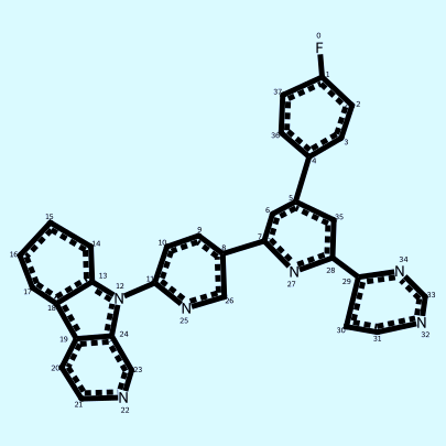 Fc1ccc(-c2cc(-c3ccc(-n4c5ccccc5c5ccncc54)nc3)nc(-c3ccncn3)c2)cc1